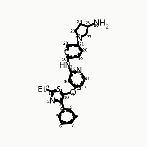 CCc1nc(-c2ccccc2)c(Oc2ccnc(Nc3ccc(N4CCC(N)C4)cc3)c2)s1